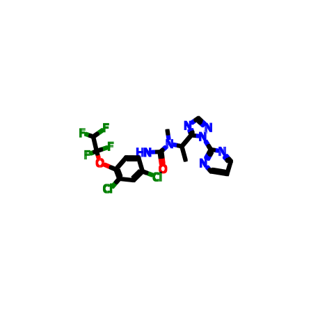 CC(c1ncnn1-c1ncccn1)N(C)C(=O)Nc1cc(OC(F)(F)C(F)F)c(Cl)cc1Cl